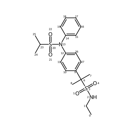 CCNS(=O)(=O)C(C)(C)c1ccc(N(c2ccccc2)S(=O)(=O)C(C)C)cc1